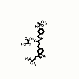 CN(C)CCc1c[nH]c2ccc(CCC(=O)NCc3cccc(NS(C)(=O)=O)c3)cc12.O=C(O)C(=O)O